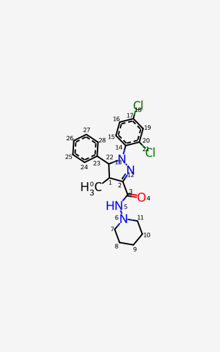 CC1C(C(=O)NN2CCCCC2)=NN(c2ccc(Cl)cc2Cl)C1c1ccccc1